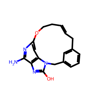 Nc1nc2cc3c1nc(O)n3Cc1cccc(c1)C/C=C/CCO2